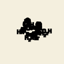 CN(C)CCn1c([C@](N)(Cc2cc(Br)c(N)c(Br)c2)C(=O)O)nc2ccccc21.O=C1Nc2ccccc2CCN1C1CCNCC1